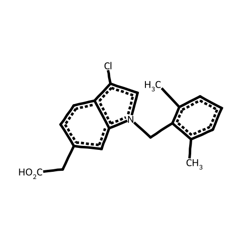 Cc1cccc(C)c1Cn1cc(Cl)c2ccc(CC(=O)O)cc21